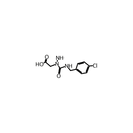 [NH]N(CC(=O)O)C(=O)NCc1ccc(Cl)cc1